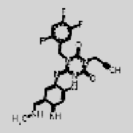 C#CCn1c(=O)[nH]/c(=N\C2=CC(=C/NC)/C(=N)C=C2Cl)n(Cc2cc(F)c(F)cc2F)c1=O